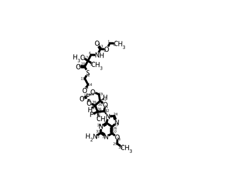 CCOC(=O)NCC(C)(C)C(=O)SCCOP1(=O)OC[C@H]2O[C@@H](n3cnc4c(OCC)nc(N)nc43)[C@](C)(F)[C@@H]2O1